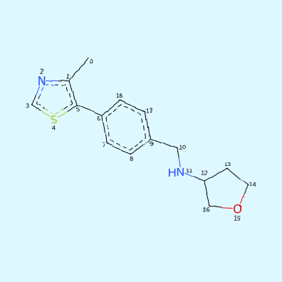 Cc1ncsc1-c1ccc(CNC2CCOC2)cc1